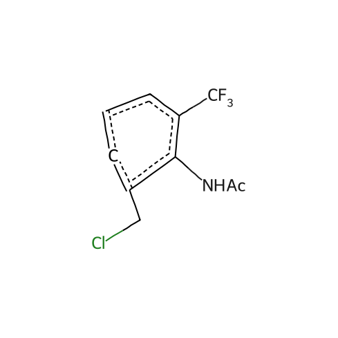 CC(=O)Nc1c(CCl)cccc1C(F)(F)F